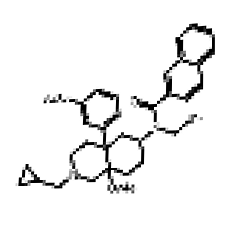 COC12CCC(N(CC(C)C)C(=O)c3ccc4ccccc4c3)CC1(c1cccc(OC(C)=O)c1)CCN(CC1CC1)C2